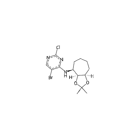 CC1(C)O[C@H]2[C@@H](Nc3nc(Cl)ncc3Br)CCCC[C@H]2O1